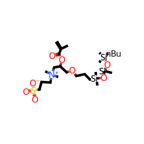 C=C(C)C(=O)OC(COCCC[Si](C)(C)O[Si](C)(C)O[Si](C)(C)CCCC)C[N+](C)(C)CCCS(=O)(=O)[O-]